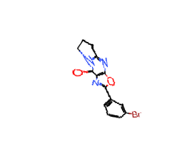 O=c1c2nc(-c3cccc(Br)c3)oc2nc2n1CCC2